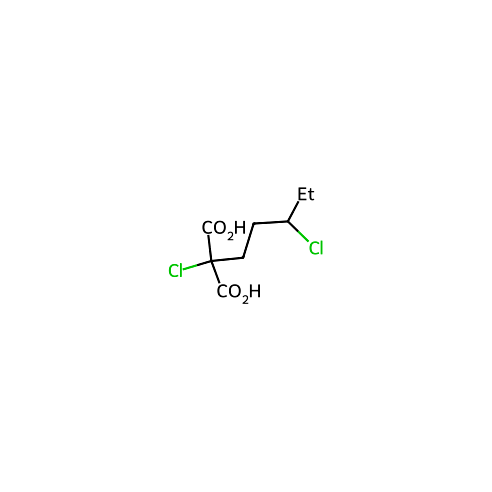 CCC(Cl)CCC(Cl)(C(=O)O)C(=O)O